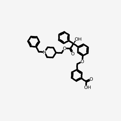 O=C(O)c1cccc(COc2cccc([C@](O)(C(=O)OCC3CCN(Cc4ccccc4)CC3)c3ccccc3)c2)c1